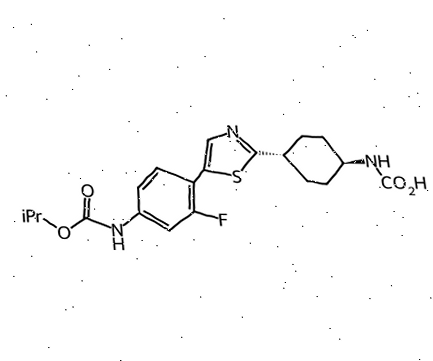 CC(C)OC(=O)Nc1ccc(-c2cnc([C@H]3CC[C@H](NC(=O)O)CC3)s2)c(F)c1